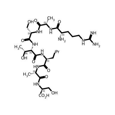 CC(C)C[C@H](NC(=O)[C@@H](NC(=O)[C@H](CO)NC(=O)[C@H](C)NC(=O)[C@@H](N)CCCNC(=N)N)[C@@H](C)O)C(=O)N[C@@H](C)C(=O)N[C@@H](CO)C(=O)O